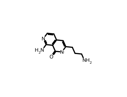 NCCCC1=Cc2ccnc(N)c2C(=O)[N]1